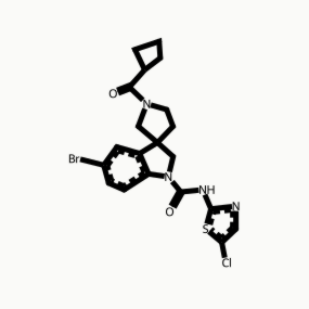 O=C(C1CCC1)N1CCC2(C1)CN(C(=O)Nc1ncc(Cl)s1)c1ccc(Br)cc12